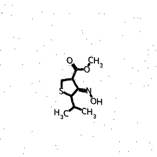 COC(=O)C1CSC(C(C)C)C1=NO